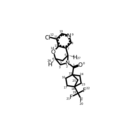 O=C(N1C[C@@H]2C[C@H]1c1cncc(Cl)c1O2)C12CCC(C(F)(F)F)(CC1)C2